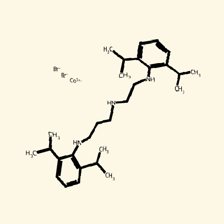 CC(C)c1cccc(C(C)C)c1NCCCNCCNc1c(C(C)C)cccc1C(C)C.[Br-].[Br-].[Co+2]